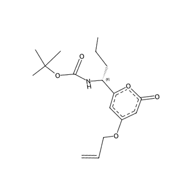 C=CCOc1cc([C@@H](CCC)NC(=O)OC(C)(C)C)oc(=O)c1